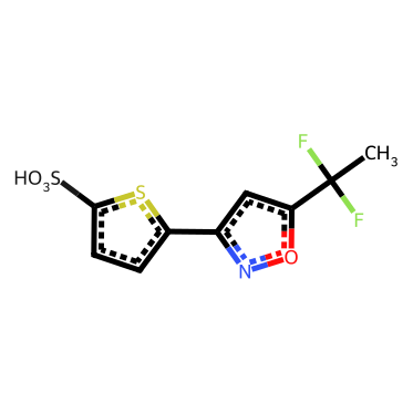 CC(F)(F)c1cc(-c2ccc(S(=O)(=O)O)s2)no1